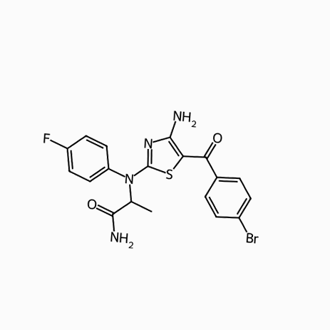 CC(C(N)=O)N(c1ccc(F)cc1)c1nc(N)c(C(=O)c2ccc(Br)cc2)s1